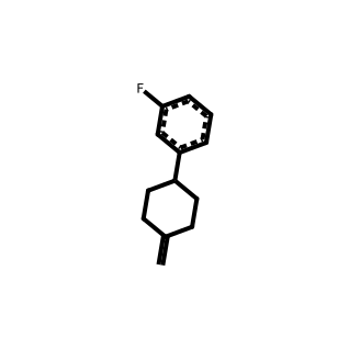 C=C1CCC(c2cccc(F)c2)CC1